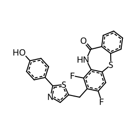 O=C1Nc2c(cc(F)c(Cc3cnc(-c4ccc(O)cc4)s3)c2F)Sc2ccccc21